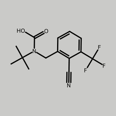 CC(C)(C)N(Cc1cccc(C(F)(F)F)c1C#N)C(=O)O